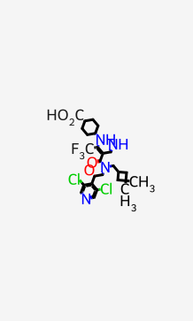 CC1(C)CC(CN(CC(=O)c2c(Cl)cncc2Cl)C(=O)/C(C=N)=C(/NC2CCC(C(=O)O)CC2)C(F)(F)F)C1